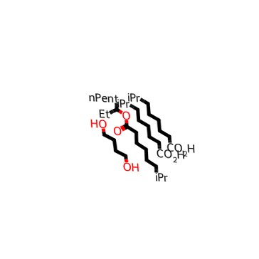 CC(C)CCCCCC(=O)O.CC(C)CCCCCC(=O)O.CCCCCC(CC)OC(=O)CCCCCC(C)C.OCCCCO